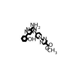 COC(=O)c1cnc(N2CCC(n3nc(N)c4nnc(-c5ccccc5O)cc43)CC2)nc1